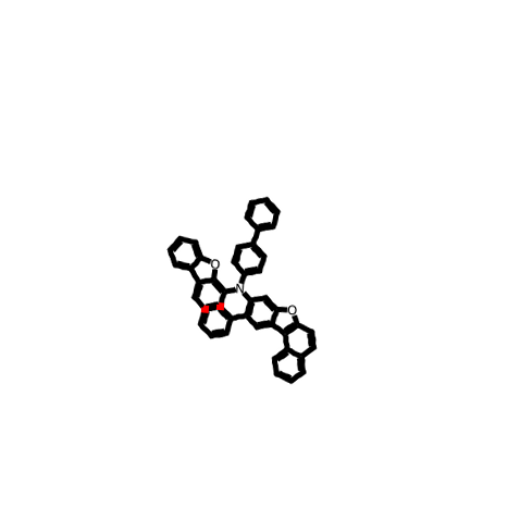 c1ccc(-c2ccc(N(c3cc4oc5ccc6ccccc6c5c4cc3-c3ccccc3)c3cccc4c3oc3ccccc34)cc2)cc1